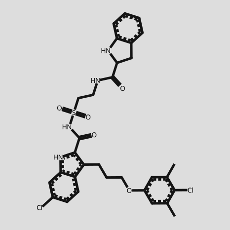 Cc1cc(OCCCc2c(C(=O)NS(=O)(=O)CCNC(=O)C3Cc4ccccc4N3)[nH]c3cc(Cl)ccc23)cc(C)c1Cl